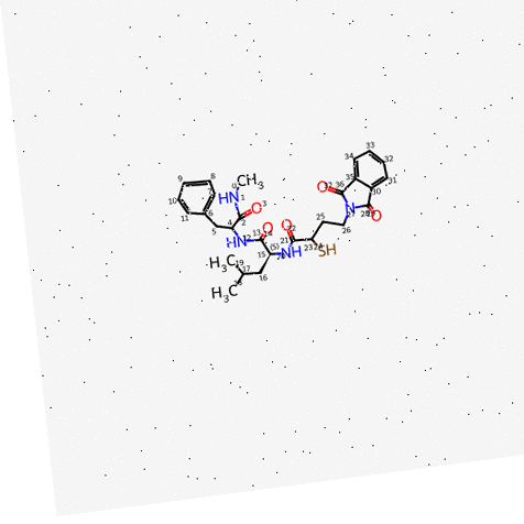 CNC(=O)C(Cc1ccccc1)NC(=O)[C@H](CC(C)C)NC(=O)C(S)CCN1C(=O)c2ccccc2C1=O